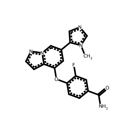 Cn1cncc1-c1cc(Oc2ccc(C(N)=O)cc2F)c2ccnn2c1